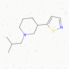 CC(C)CN1CC[CH]C(c2ccns2)C1